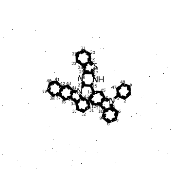 c1ccc(-n2c3ccccc3c3ccc(C4Nc5sc6ccccc6c5N=C4n4c5ccccc5c5cc6ccccc6cc54)cc32)cc1